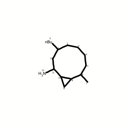 CCCCC1CCCCC(C)C2CC2C(N)C1